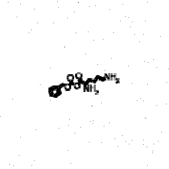 NCCCCC(N)C(=O)OC(=O)OCc1ccccc1